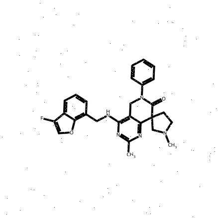 Cc1nc(NCc2cccc3c(F)coc23)c2c(n1)C1(CCN(C)C1)C(=O)N(c1ccccc1)C2